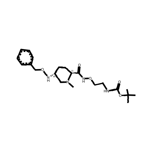 CN1C[C@H](NOCc2ccccc2)CC[C@H]1C(=O)NOCCNC(=O)OC(C)(C)C